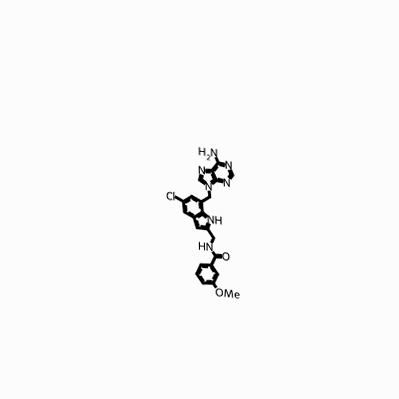 COc1cccc(C(=O)NCc2cc3cc(Cl)cc(Cn4cnc5c(N)ncnc54)c3[nH]2)c1